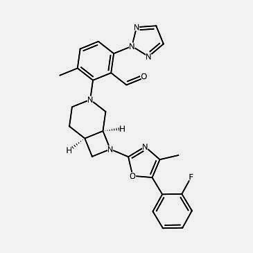 Cc1ccc(-n2nccn2)c(C=O)c1N1CC[C@@H]2CN(c3nc(C)c(-c4ccccc4F)o3)[C@@H]2C1